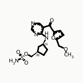 COCc1ccc(C(=O)c2cncnc2N[C@H]2CC[C@@H](COS(N)(=O)=O)C2)o1